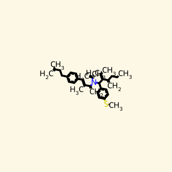 C=C(C)CCc1ccc(/C=C(\C)C(=C)N(C(=C)C)C(C(C(=C)CCC)=C(C)C)c2ccc(SC)cc2)cc1